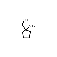 OC[C]1([SnH])CCCC1